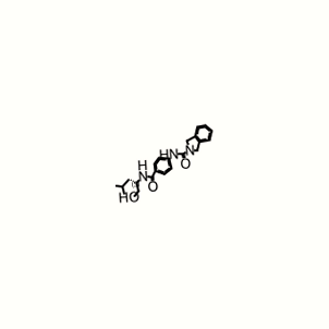 CC(C)C[C@@H](CO)NC(=O)c1ccc(NC(=O)N2Cc3ccccc3C2)cc1